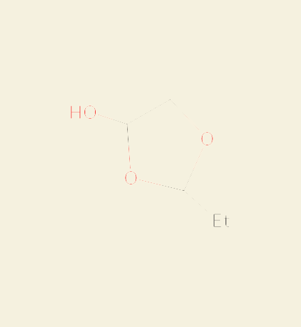 CCC1OCC(O)O1